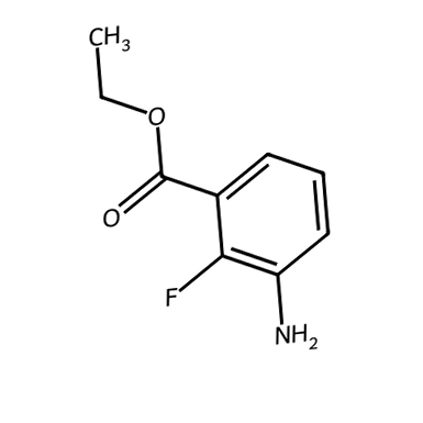 CCOC(=O)c1cccc(N)c1F